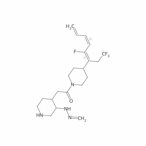 C=C/C=C\C(F)=C(/CC(F)(F)F)C1CCN(C(=O)CC2CCNCC2NN=C)CC1